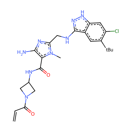 C=CC(=O)N1CC(NC(=O)c2c(N)nc(CNc3n[nH]c4cc(Cl)c(C(C)(C)C)cc34)n2C)C1